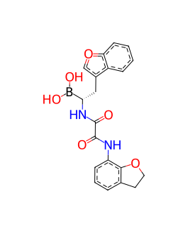 O=C(Nc1cccc2c1OCC2)C(=O)N[C@@H](Cc1coc2ccccc12)B(O)O